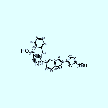 CC(C)(C)c1csc(-c2cc3cc(-c4nnnn4Cc4ccccc4C(=O)O)ccc3o2)n1